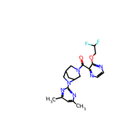 Cc1cc(C)nc(N2CC3CC2CN(C(=O)c2nccnc2OCC(F)F)C3)n1